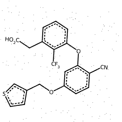 N#Cc1ccc(OCc2ccsc2)cc1Oc1cccc(CC(=O)O)c1C(F)(F)F